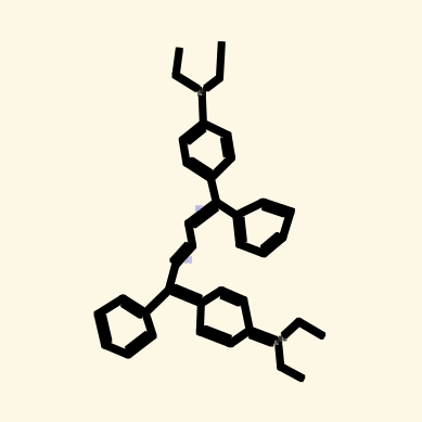 CCN(CC)c1ccc(/C(=C/C=C/C(=C2C=CC(=[N+](CC)CC)C=C2)c2ccccc2)c2ccccc2)cc1